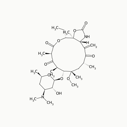 C=C1C(=O)[C@H](C)C[C@](C)(OC)[C@H](O[C@@H]2O[C@H](C)C[C@H](N(C)C)[C@H]2O)[C@@H](C)C(=O)[C@@H](C)C(=O)O[C@H](CC)[C@@]2(C)OC(=O)N[C@H]12